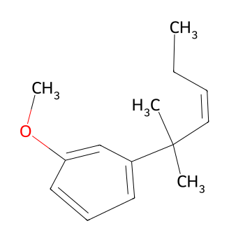 CC/C=C\C(C)(C)c1cccc(OC)c1